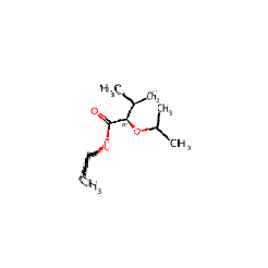 CCOC(=O)[C@H](OC(C)C)C(C)C